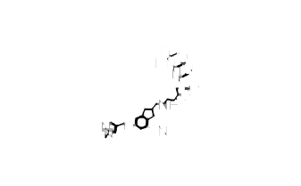 Cn1cc(COc2cc(C#N)c3c(c2)CC(CNCCC2CN(c4cnc5c(n4)NC(=O)CO5)C(=O)O2)C3)cn1